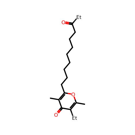 CCC(=O)CCCCCCCCc1oc(C)c(CC)c(=O)c1C